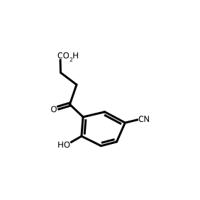 N#Cc1ccc(O)c(C(=O)CCC(=O)O)c1